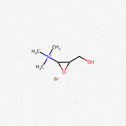 C[N+](C)(C)C1OC1CO.[Br-]